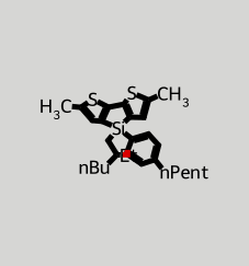 CCCCCc1ccc([Si]2(CC(CC)CCCC)c3cc(C)sc3-c3sc(C)cc32)cc1